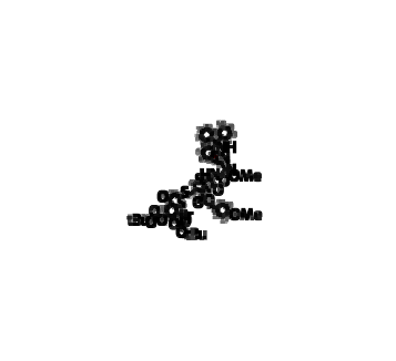 CO/N=C(\C(=O)NC1C(=O)N2C(C(=O)OCc3ccc(OC)cc3)=C(CSc3cc(=O)c4cc(OC(=O)OC(C)(C)C)c(OC(=O)OC(C)(C)C)c(Br)c4s3)CS[C@@H]12)c1csc(NC(c2ccccc2)(c2ccccc2)c2ccccc2)n1